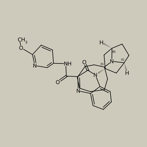 COc1ccc(NC(=O)c2nc3ccccc3n([C@@H]3C[C@H]4CC[C@@H](C3)N4C3CCCCCCC3)c2=O)cn1